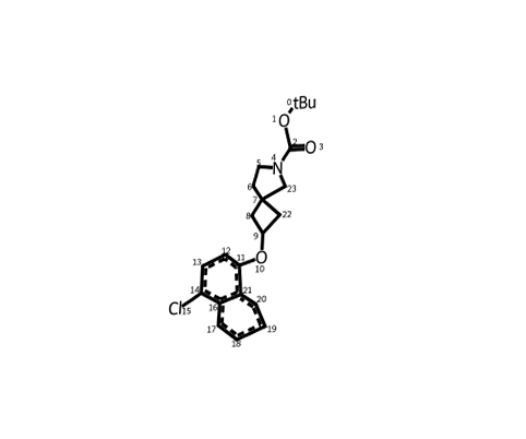 CC(C)(C)OC(=O)N1CCC2(CC(Oc3ccc(Cl)c4ccccc34)C2)C1